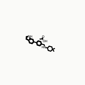 CC(=O)O.CC1(C)CCC(NCc2ccc(-c3ccc4cc[nH]c4c3)cc2)CC1